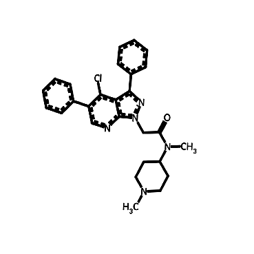 CN1CCC(N(C)C(=O)Cn2nc(-c3ccccc3)c3c(Cl)c(-c4ccccc4)cnc32)CC1